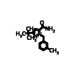 Cc1cccc(Cn2nc(C(C)(C)C)cc2C(N)=O)c1